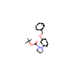 CC(C)(C)OC(=O)N1CCCN1c1cccc(OCc2ccccc2)c1